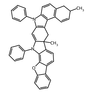 CC1C=Cc2c(ccc3c2c2c(n3-c3ccccc3)C=C3N(c4ccccc4)c4c(ccc5c4oc4ccccc45)C3(C)C2)C1